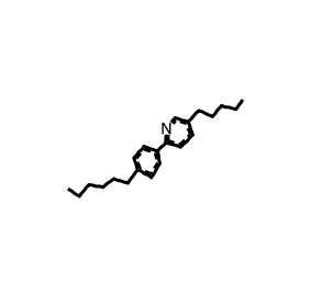 CCCCCCc1ccc(-c2ccc(CCCCC)cn2)cc1